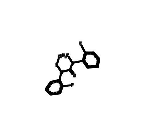 CN(C(=O)N(SCl)c1ccccc1F)c1ccccc1F